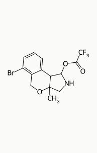 CC12CNC(OC(=O)C(F)(F)F)C1c1cccc(Br)c1CO2